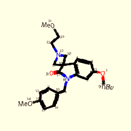 CCCCOc1ccc2c(c1)N(Cc1ccc(OC)cc1)C(=O)C21CN(CCOC)C1